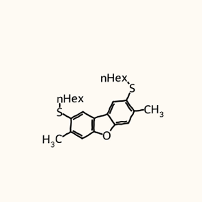 CCCCCCSc1cc2c(cc1C)oc1cc(C)c(SCCCCCC)cc12